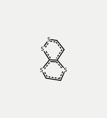 c1cc2sccsc=2ss1